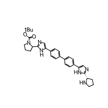 CC(C)(C)OC(=O)N1CCCC1c1ncc(-c2ccc(-c3ccc(-c4cnc([C@@H]5CCCN5)[nH]4)cc3)cc2)[nH]1